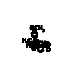 [CH2][C@H](NS(=O)(=O)c1cccc(N2CCCC2=O)c1C)C(=O)N1CCN(C(C)=O)CC1